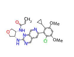 C=CC(=O)N[C@H]1COC[C@H]1Nc1ncc2cc(-c3c(Cl)c(OC)cc(OC)c3C3CC3)ncc2n1